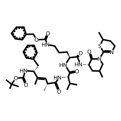 C/C(=C\[C@@H](C)C(=O)N[C@H](C(=O)N[C@@H](CCCNC(=O)OCc1ccccc1)C(=O)N[C@H]1CC(C)CN(C2=NCCC(C)S2)C1=O)C(C)C)[C@@H](Cc1ccccc1)NC(=O)OC(C)(C)C